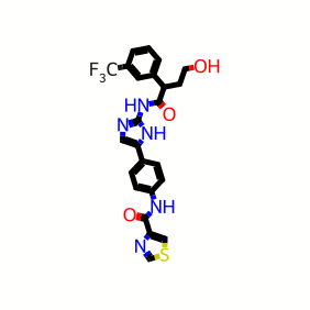 O=C(Nc1ccc(-c2cnc(NC(=O)C(CCO)c3cccc(C(F)(F)F)c3)[nH]2)cc1)c1cscn1